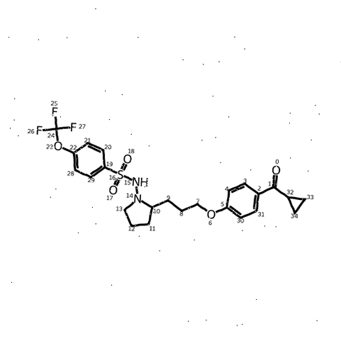 O=C(c1ccc(OCCCC2CCCN2NS(=O)(=O)c2ccc(OC(F)(F)F)cc2)cc1)C1CC1